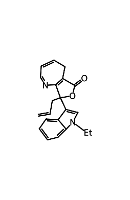 C=CCC1(c2cn(CC)c3ccccc23)OC(=O)C2=C1N=CC=CC2